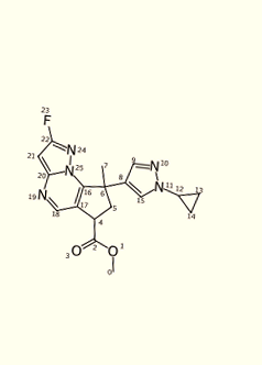 COC(=O)C1CC(C)(c2cnn(C3CC3)c2)c2c1cnc1cc(F)nn21